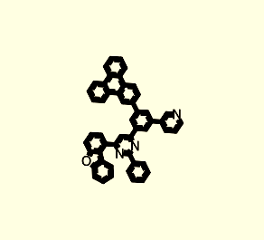 c1ccc(-c2nc(-c3cc(-c4cccnc4)cc(-c4ccc5c6ccccc6c6ccccc6c5c4)c3)cc(-c3cccc4oc5ccccc5c34)n2)cc1